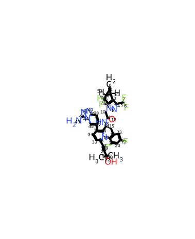 C=C1[C@@H]2c3c(C(F)F)nn(CC(=O)N[C@@H](Cc4cc(F)cc(F)c4)c4nc(C#CC(C)(C)O)ccc4-c4ccc5nnc(N)n5c4)c3C(F)(F)[C@H]12